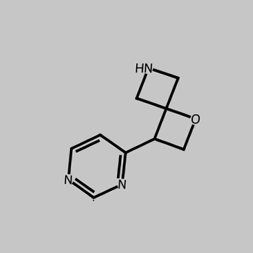 [c]1nccc(C2COC23CNC3)n1